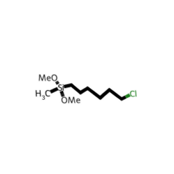 CO[Si](C)(CCCCCCCl)OC